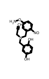 C#CCN(Cc1cc(O)ccc1O)Cc1cc(ON)ccc1N=O